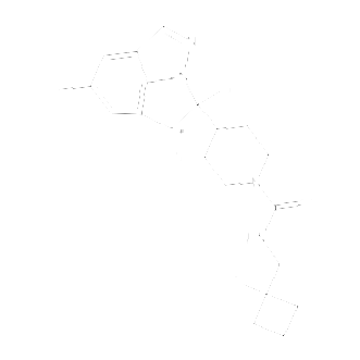 CC1(C2CCN(C(=O)NCC3(O)CCC3)CC2)[C@H](O)c2cc(Cl)cc3cnn1c23